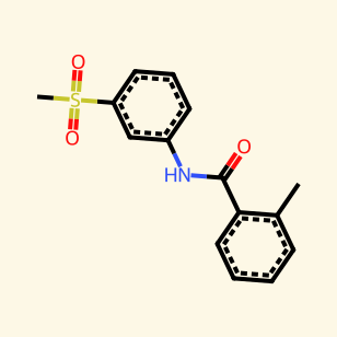 Cc1ccccc1C(=O)Nc1cccc(S(C)(=O)=O)c1